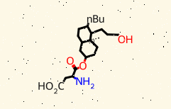 CCCCC1CCC2CC(OC(=O)C(N)CC(=O)O)CC[C@]2(C)C1CCCO